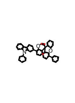 c1ccc(-c2cccc3c2Oc2ccccc2C32c3ccccc3Oc3c(-c4ccc5c6ccccc6n(-c6ccccc6)c5c4)cccc32)cc1